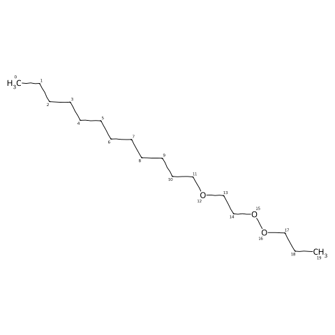 CCCCCCCCCCCCOCCOOCCC